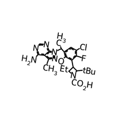 CCOc1c(C(C)n2nc(C)c3c(N)ncnc32)cc(Cl)c(F)c1C1CN(C(=O)O)C1C(C)(C)C